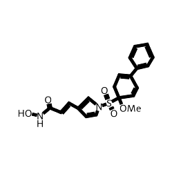 COC1(S(=O)(=O)n2ccc(/C=C/C(=O)NO)c2)C=CC(c2ccccc2)=CC1